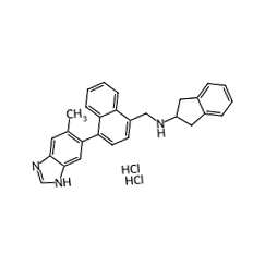 Cc1cc2nc[nH]c2cc1-c1ccc(CNC2Cc3ccccc3C2)c2ccccc12.Cl.Cl